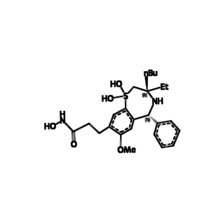 CCCC[C@]1(CC)CS(O)(O)c2cc(CCC(=O)NO)c(OC)cc2[C@@H](c2ccccc2)N1